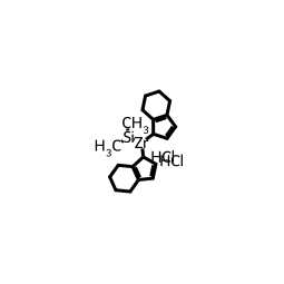 C[Si](C)=[Zr]([CH]1C=CC2=C1CCCC2)[CH]1C=CC2=C1CCCC2.Cl.Cl